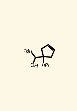 CCCC1(C(O)C(C)(C)C)CC=CC1